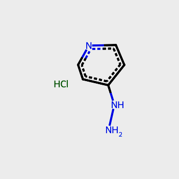 Cl.NNc1ccncc1